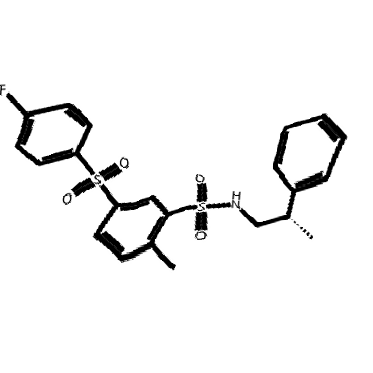 Cc1ccc(S(=O)(=O)c2ccc(F)cc2)cc1S(=O)(=O)NC[C@@H](C)c1ccccc1